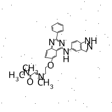 CN(CCOc1ccc2nc(-c3ccccc3)nc(Nc3ccc4[nH]ncc4c3)c2c1)CC(=O)N(C)C